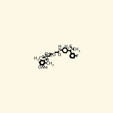 COc1cc(C)c(S(=O)(=O)N(C)CCOCC(=O)NC2CCC(C(c3cccc(F)c3)N(C)C)CC2)c(C)c1